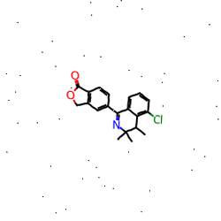 CC1c2c(Cl)cccc2C(c2ccc3c(c2)COC3=O)=NC1(C)C